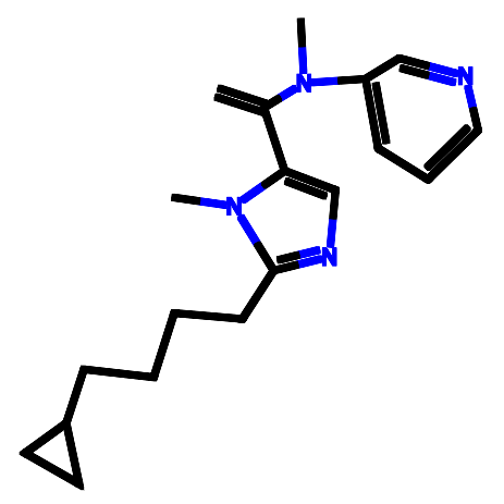 C=C(c1cnc(CCCCC2CC2)n1C)N(C)c1cccnc1